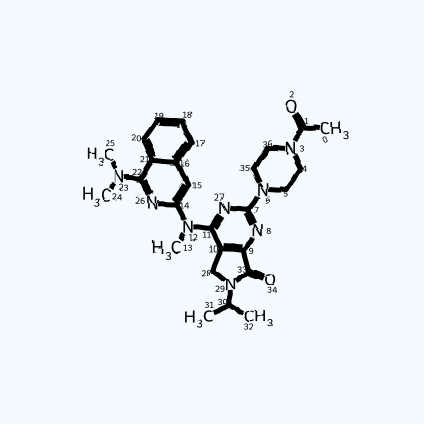 CC(=O)N1CCN(c2nc3c(c(N(C)c4cc5ccccc5c(N(C)C)n4)n2)CN(C(C)C)C3=O)CC1